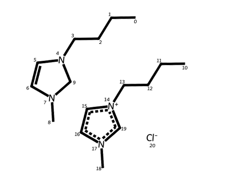 CCCCN1C=CN(C)C1.CCCC[n+]1ccn(C)c1.[Cl-]